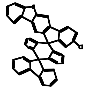 Clc1ccc2c(c1)C1(c3cc4c(cc3-2)sc2ccccc24)c2ccccc2C2(c3ccccc3-c3ccccc32)c2ccccc21